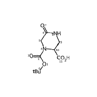 CC(C)(C)OC(=O)N1CC(=O)NCC1C(=O)O